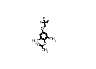 CC(=O)Oc1c(C)cc(OCC(F)(F)F)cc1C